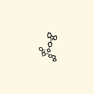 c1ccc2c(c1)ccc1cc(N(c3ccc(-c4ccc(-n5c6ccccc6c6ccccc65)cc4)cc3)c3cncc4c3oc3ccccc34)ccc12